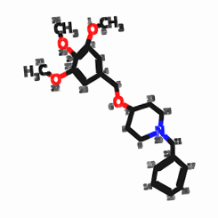 COc1cc(COC2CCN(Cc3ccccc3)CC2)cc(OC)c1OC